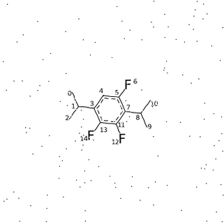 CC(C)c1cc(F)c(C(C)C)c(F)c1F